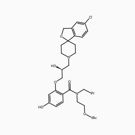 CC(C)CN(CCOC(C)(C)C)C(=O)c1ccc(O)cc1OC[C@@H](O)CN1CCC2(CC1)OCc1cc(Cl)ccc12